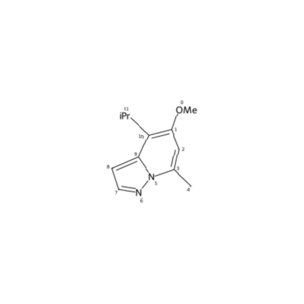 COc1cc(C)n2nccc2c1C(C)C